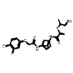 CC(CN=O)SC(C)C(=O)NC12CCC(NC(=O)COc3ccc(Cl)c(F)c3)(C1)C2